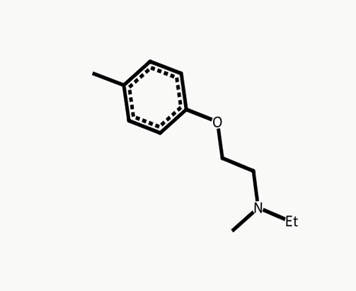 CCN(C)CCOc1ccc(C)cc1